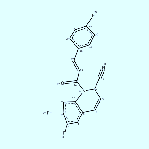 N#CC1C=Cc2cc(F)c(F)cc2N1C(=O)C=Cc1ccc(F)cc1